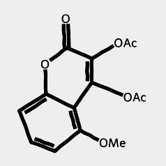 COc1cccc2oc(=O)c(OC(C)=O)c(OC(C)=O)c12